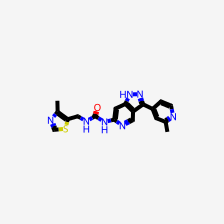 Cc1cc(-c2n[nH]c3cc(NC(=O)NCc4scnc4C)ncc23)ccn1